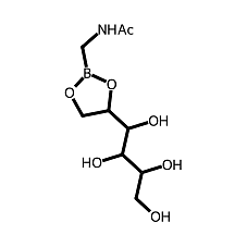 CC(=O)NCB1OCC(C(O)C(O)C(O)CO)O1